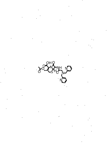 CC(=O)OCC1=C(C(=O)O)N2C(=O)[C@@H](NC(=O)CN(Cc3ccccn3)Cc3ccccn3)[C@@H]2SC1